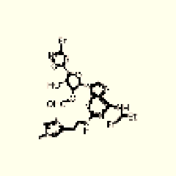 CCc1noc([C@H]2O[C@@H](n3cnc4c(NC(CC)CC)nc(NCCc5cn(C)cn5)nc43)[C@H](OC=O)[C@@H]2O)n1